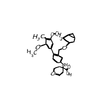 COc1cc(-c2ccc(NC3(C(=O)O)CCOCC3)cc2COC2CC3CC3C2)cc(OC)c1C